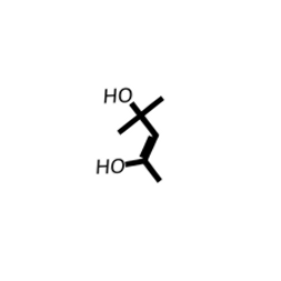 CC(O)=CC(C)(C)O